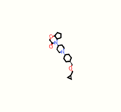 O=C1COC2CCCC2N1C1CCN([C@H]2CC[C@H](COCC3CC3)CC2)CC1